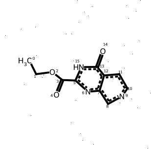 CCOC(=O)c1nc2cnccc2c(=O)[nH]1